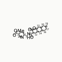 COC(=O)c1ccc(CNC(=O)c2cc3cc4ccc(C)cc4cc3oc2=O)nc1